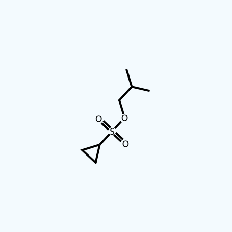 CC(C)COS(=O)(=O)C1CC1